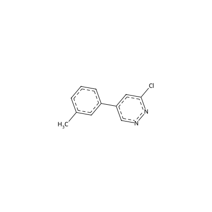 Cc1cccc(-c2cnnc(Cl)c2)c1